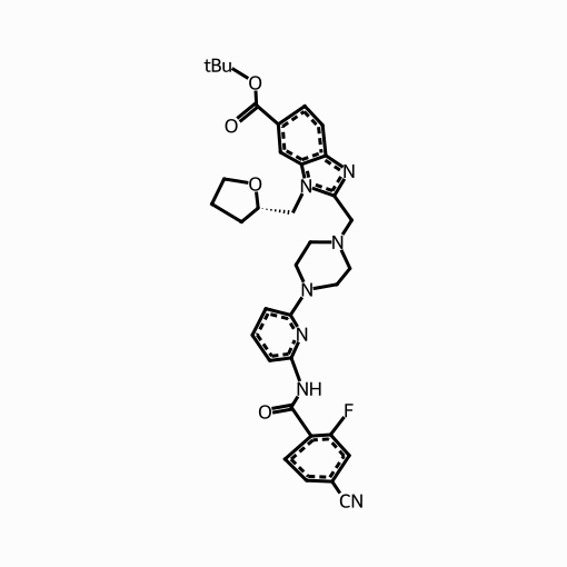 CC(C)(C)OC(=O)c1ccc2nc(CN3CCN(c4cccc(NC(=O)c5ccc(C#N)cc5F)n4)CC3)n(C[C@@H]3CCCO3)c2c1